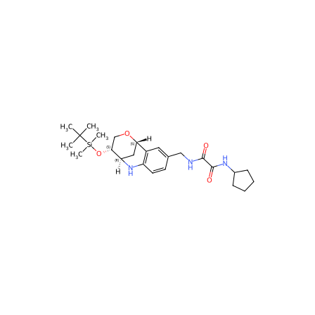 CC(C)(C)[Si](C)(C)O[C@@H]1CO[C@H]2C[C@H]1Nc1ccc(CNC(=O)C(=O)NC3CCCC3)cc12